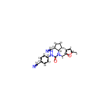 Cc1ccc(CN(C(=O)Nc2ccc(C#N)cc2)C2CCCC2C#N)o1